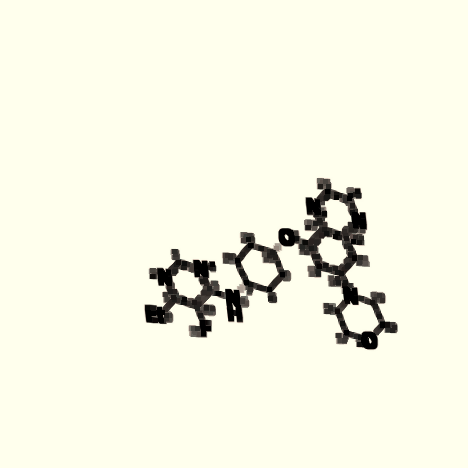 CCc1ncnc(N[C@H]2CC[C@@H](Oc3cc(N4CCOCC4)cc4nccnc34)CC2)c1F